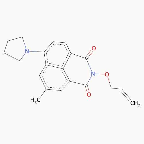 C=CCON1C(=O)c2ccc(N3CCCC3)c3cc(C)cc(c23)C1=O